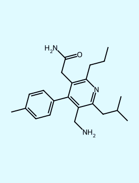 CCCc1nc(CC(C)C)c(CN)c(-c2ccc(C)cc2)c1CC(N)=O